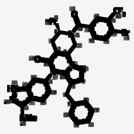 CCC[C@H]1Cc2c(n3ncc(Cc4ccccc4)c3n(-c3ccc4c(NC)n[nH]c4c3)c2=O)CN1C(=O)c1ccc(Br)c(C(F)(F)F)c1